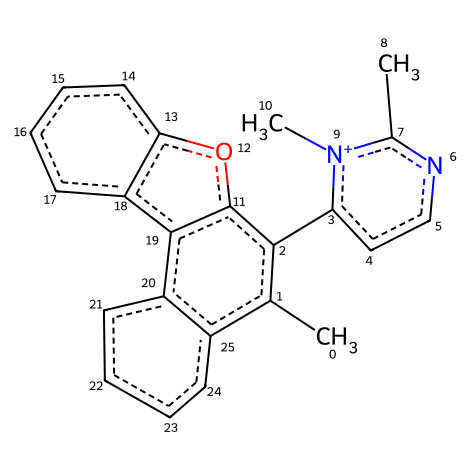 Cc1c(-c2ccnc(C)[n+]2C)c2oc3ccccc3c2c2ccccc12